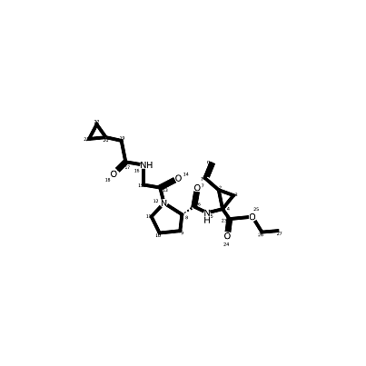 C=CC1CC1(NC(=O)[C@@H]1CCCN1C(=O)CNC(=O)CC1CC1)C(=O)OCC